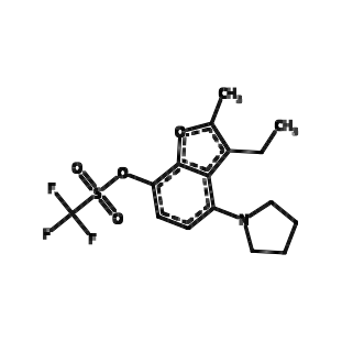 CCc1c(C)oc2c(OS(=O)(=O)C(F)(F)F)ccc(N3CCCC3)c12